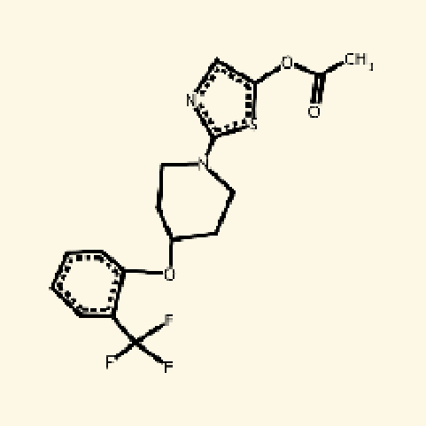 CC(=O)Oc1cnc(N2CCC(Oc3ccccc3C(F)(F)F)CC2)s1